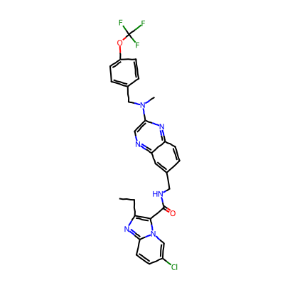 CCc1nc2ccc(Cl)cn2c1C(=O)NCc1ccc2nc(N(C)Cc3ccc(OC(F)(F)F)cc3)cnc2c1